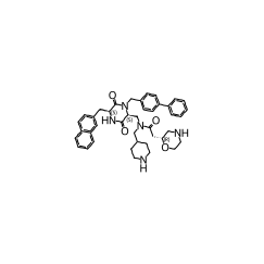 O=C1N[C@@H](Cc2ccc3ccccc3c2)C(=O)N(Cc2ccc(-c3ccccc3)cc2)[C@H]1CN(CC1CCNCC1)C(=O)C[C@@H]1CNCCO1